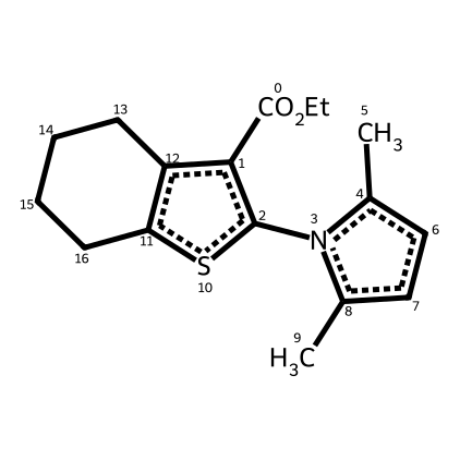 CCOC(=O)c1c(-n2c(C)ccc2C)sc2c1CCCC2